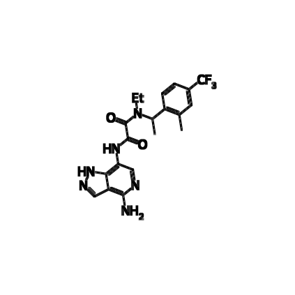 CCN(C(=O)C(=O)Nc1cnc(N)c2cn[nH]c12)C(C)c1ccc(C(F)(F)F)cc1C